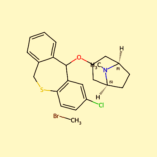 CBr.CN1[C@@H]2CC[C@H]1CC(OC1c3ccccc3CSc3ccc(Cl)cc31)C2